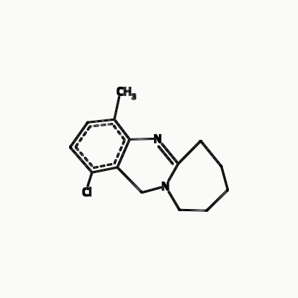 Cc1ccc(Cl)c2c1N=C1CCCCCN1C2